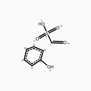 O=CS(=O)(=O)O.Oc1ccccc1